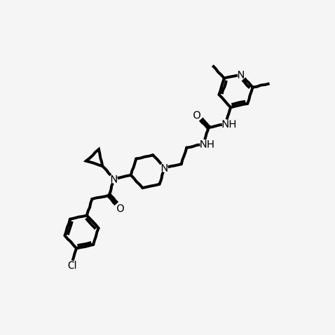 Cc1cc(NC(=O)NCCN2CCC(N(C(=O)Cc3ccc(Cl)cc3)C3CC3)CC2)cc(C)n1